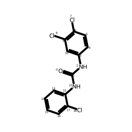 O=C(Nc1ccc(Cl)c(Cl)c1)Nc1ccccc1Cl